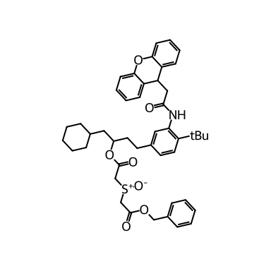 CC(C)(C)c1ccc(CCC(CC2CCCCC2)OC(=O)C[S+]([O-])CC(=O)OCc2ccccc2)cc1NC(=O)CC1c2ccccc2Oc2ccccc21